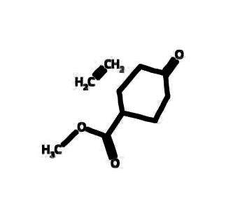 C=C.COC(=O)C1CCC(=O)CC1